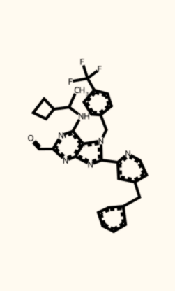 CC(Nc1nc(C=O)nc2nc(-c3cc(Cc4ccccc4)ccn3)n(Cc3ccc(C(F)(F)F)cc3)c12)C1CCC1